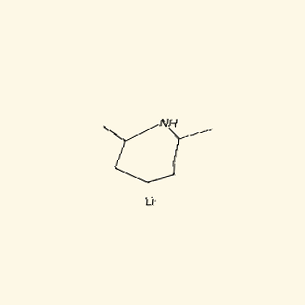 CC1CCCC(C)N1.[Li]